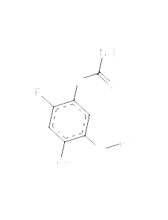 Cc1cc(F)c(OC(N)=O)cc1OC(C)C